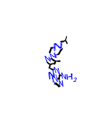 Cc1cc(Cc2nc(N)c3nccn3n2)cnc1N1CCN(CC(C)C)CC1